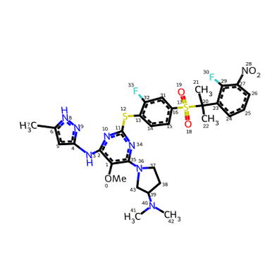 COc1c(Nc2cc(C)[nH]n2)nc(Sc2ccc(S(=O)(=O)C(C)(C)c3cccc([N+](=O)[O-])c3F)cc2F)nc1N1CCC(N(C)C)C1